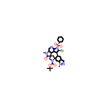 CN1C(=O)C2(CCN(C(=O)OC(C)(C)C)C2)c2c1cnc1c2c(-c2ccc3c(cnn3C)c2)c(Br)n1S(=O)(=O)c1ccccc1